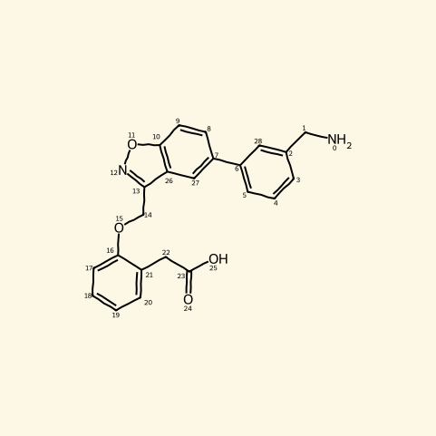 NCc1cccc(-c2ccc3onc(COc4ccccc4CC(=O)O)c3c2)c1